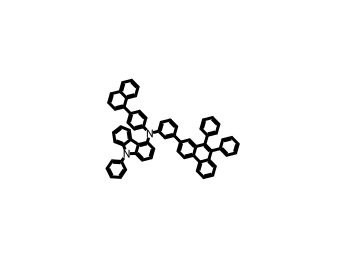 c1ccc(-c2c(-c3ccccc3)c3cc(-c4cccc(N(c5ccc(-c6cccc7ccccc67)cc5)c5cccc6c5c5ccccc5n6-c5ccccc5)c4)ccc3c3ccccc23)cc1